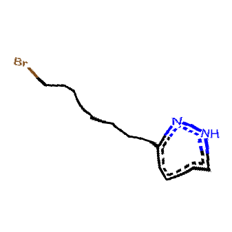 BrCCCCCc1cc[nH]n1